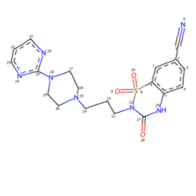 N#Cc1ccc2c(c1)S(=O)(=O)N(CCCN1CCN(c3ncccn3)CC1)C(=O)N2